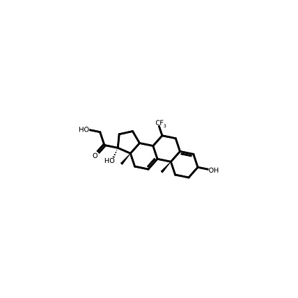 C[C@]12CCC(O)C=C1CC(C(F)(F)F)C1C2=CC[C@@]2(C)C1CC[C@]2(O)C(=O)CO